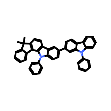 CC1(C)c2ccccc2-c2c1ccc1c3cc(-c4ccc5c6ccccc6n(-c6ccccc6)c5c4)ccc3n(-c3ccccc3)c21